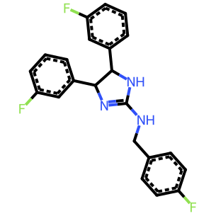 Fc1ccc(CNC2=NC(c3cccc(F)c3)C(c3cccc(F)c3)N2)cc1